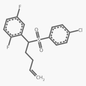 C=CCCC(c1cc(F)ccc1F)S(=O)(=O)c1ccc(Cl)cc1